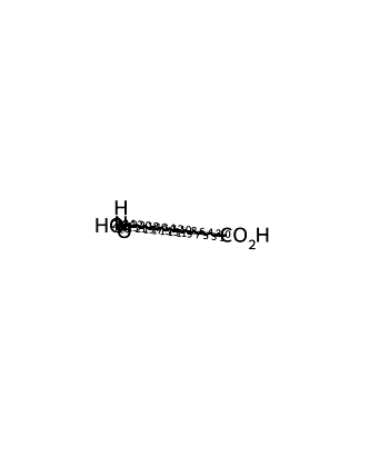 O=C(O)CCCCCCCCCCCCCCCCCCCCCCCCC(=O)NO